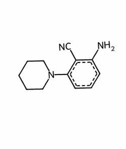 N#Cc1c(N)cccc1N1CCCCC1